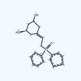 O=P(C/C=C1/CC(O)C[C@H](O)C1)(c1ccccc1)c1ccccc1